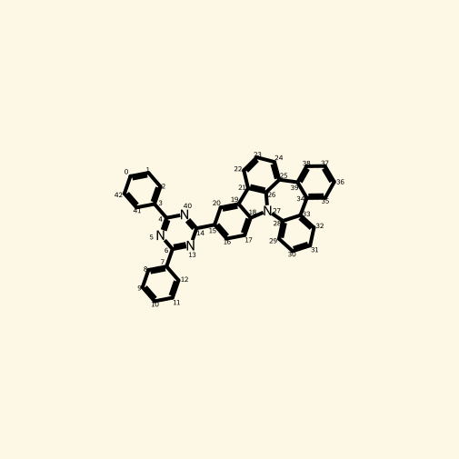 c1ccc(-c2nc(-c3ccccc3)nc(-c3ccc4c(c3)c3cccc5c3n4-c3ccccc3-c3ccccc3-5)n2)cc1